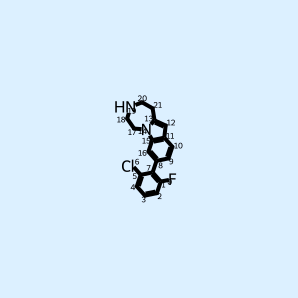 Fc1cccc(Cl)c1-c1ccc2cc3n(c2c1)CCNCC3